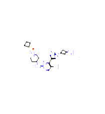 C[C@]1(N)C[C@@H](n2cc(-c3nc(NC4CCN(S(=O)(=O)C5CCC5)CC4)ncc3C(F)(F)F)cn2)C1